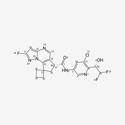 O=C(Nc1cnc([C@H](O)C(F)F)c(Cl)c1)[C@@H]1CC2(CCC2)c2c1cnc1cc(F)nn21